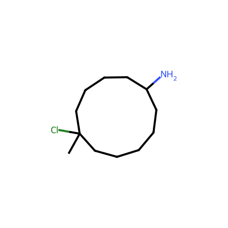 CC1(Cl)CCCCCC(N)CCCC1